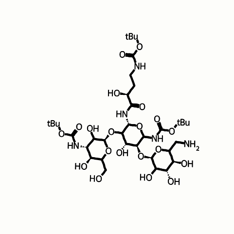 CC(C)(C)OC(=O)NCC[C@H](O)C(=O)N[C@@H]1OC(NC(=O)OC(C)(C)C)[C@@H](O[C@H]2OC(CN)[C@@H](O)[C@H](O)C2O)[C@H](O)C1O[C@H]1OC(CO)[C@@H](O)[C@H](NC(=O)OC(C)(C)C)C1O